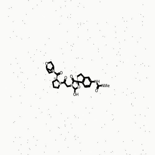 CNC(=O)Nc1ccc2c(c1)CC[C@@]21OC(O)N(CC(=O)N2CCC[C@H]2C(=O)N2CC3CC2CO3)C1=O